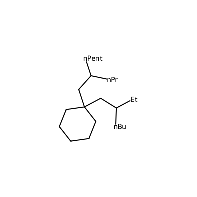 CCCCCC(CCC)CC1(CC(CC)CCCC)CCCCC1